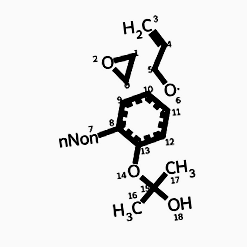 C1CO1.C=CC[O].CCCCCCCCCc1ccccc1OC(C)(C)O